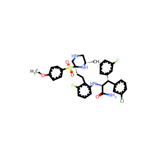 COc1ccc(S(=O)(=O)[C@@]2(CCc3c(F)cccc3N[C@H](C(N)=O)[C@H](c3cccc(F)c3)c3cccc(Cl)c3)CNC[C@H](C)N2)cc1